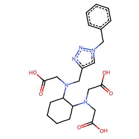 O=C(O)CN(CC(=O)O)C1CCCCC1N(CC(=O)O)Cc1cn(Cc2ccccc2)nn1